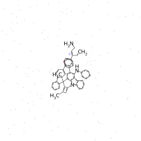 C=C/C(=C\CN)c1ccc(C2=CC3(C)C(C=C2)c2ccccc2C32C3=CC(C)CC=C3n3c4ccccc4c4c(Nc5ccccc5)c(-c5ccccc5)cc2c43)cc1